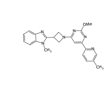 COc1nc(-c2ccc(C)cn2)cc(N2CC(c3nc4ccccc4n3C)C2)n1